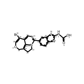 O=C(O)Nc1nc2ccc(C3=NC=C4C(Br)=COCC5=C4N3CC5)cc2s1